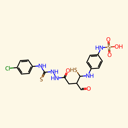 O=CC(CC(=O)NNC(=S)Nc1ccc(Cl)cc1)C(S)Nc1ccc(NS(=O)(=O)O)cc1